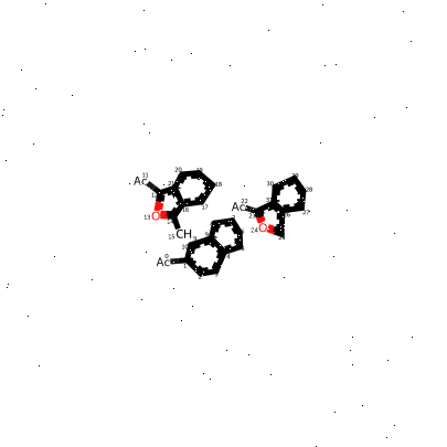 CC(=O)c1ccc2ccccc2c1.CC(=O)c1oc(C)c2ccccc12.CC(=O)c1occ2ccccc12